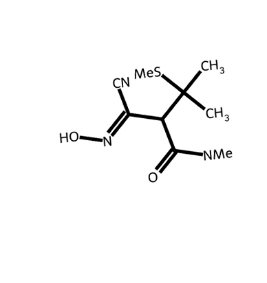 CNC(=O)C(C(C#N)=NO)C(C)(C)SC